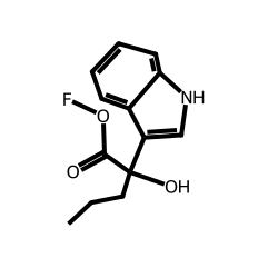 CCCC(O)(C(=O)OF)c1c[nH]c2ccccc12